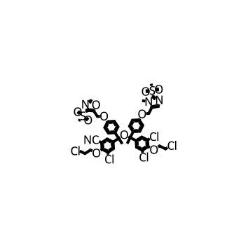 Cn1c(COc2ccc(C(C)(OC(C)(c3ccc(OCc4ocnc4S(C)(=O)=O)cc3)c3cc(Cl)c(OCCCl)c(C#N)c3)c3cc(Cl)c(OCCCl)c(Cl)c3)cc2)cnc1S(C)(=O)=O